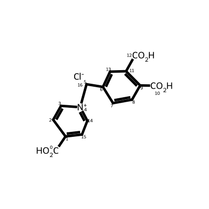 O=C(O)c1cc[n+](Cc2ccc(C(=O)O)c(C(=O)O)c2)cc1.[Cl-]